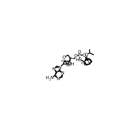 CC(C)OC(=O)[C@@H](C)NP(=O)(OC[C@@]12CO[C@@]3(C(O1)C3n1cnc3c(N)ncnc31)[C@@H]2O)Oc1ccccc1